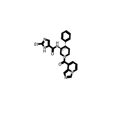 CCc1ncc(C(=O)N[C@@H]2CN(C(=O)c3cccn4cncc34)CC[C@H]2c2ccccc2)[nH]1